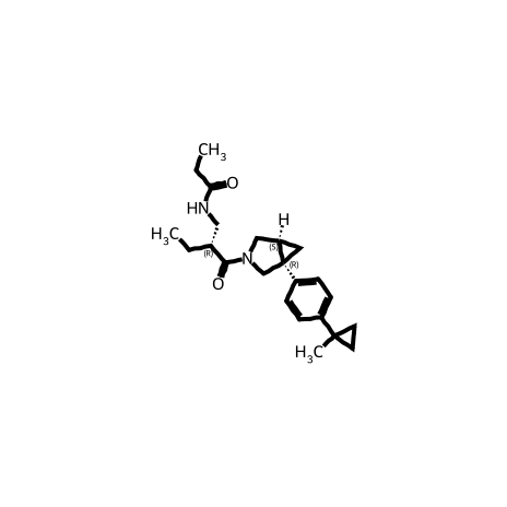 CCC(=O)NC[C@@H](CC)C(=O)N1C[C@H]2C[C@@]2(c2ccc(C3(C)CC3)cc2)C1